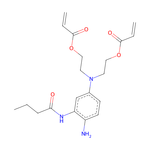 C=CC(=O)OCCN(CCOC(=O)C=C)c1ccc(N)c(NC(=O)CCC)c1